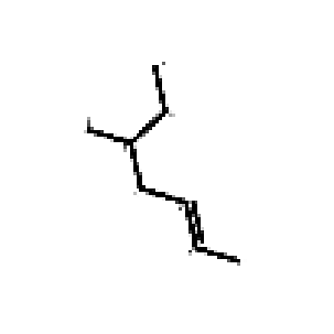 [CH2]C=CCC(C)CC